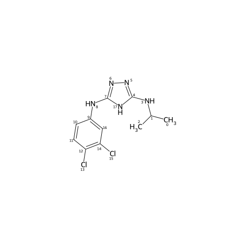 CC(C)Nc1nnc(Nc2ccc(Cl)c(Cl)c2)[nH]1